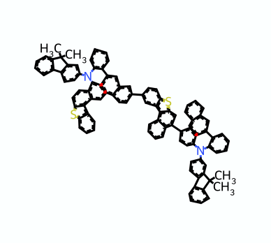 CC1(C)c2ccccc2-c2ccc(N(c3ccc(-c4cc5sc6ccc(-c7ccc8ccc(-c9ccccc9N(c9ccc%10c(c9)C(C)(C)c9ccccc9-%10)c9cccc%10c9ccc9sc%11ccccc%11c9%10)cc8c7)cc6c5c5ccccc45)cc3)c3ccccc3-c3ccc4ccccc4c3)cc21